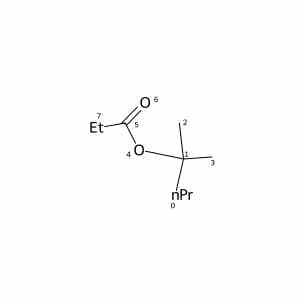 [CH2]CCC(C)(C)OC(=O)CC